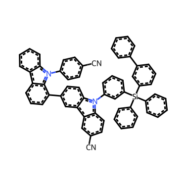 N#Cc1ccc(-n2c3ccccc3c3cccc(-c4ccc5c(c4)c4cc(C#N)ccc4n5-c4cccc([Si](c5ccccc5)(c5ccccc5)c5cccc(-c6ccccc6)c5)c4)c32)cc1